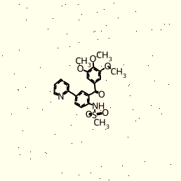 COc1cc(C(=O)c2cc(-c3ccccn3)ccc2NS(C)(=O)=O)cc(OC)c1OC